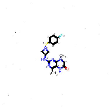 Cc1nc(NC2CN(Sc3ccc(F)cc3)C2)nc2c1NC(=O)CN2C